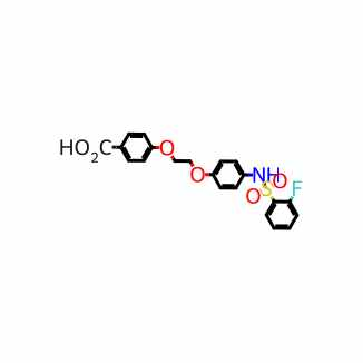 O=C(O)c1ccc(OCCOc2ccc(NS(=O)(=O)c3ccccc3F)cc2)cc1